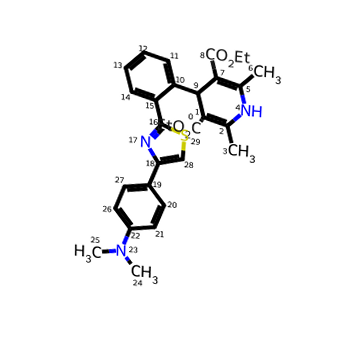 CCOC(=O)C1=C(C)NC(C)=C(C(=O)OCC)C1c1ccccc1-c1nc(-c2ccc(N(C)C)cc2)cs1